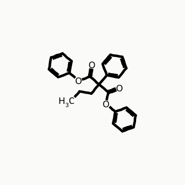 CCCC(C(=O)Oc1ccccc1)(C(=O)Oc1ccccc1)c1ccccc1